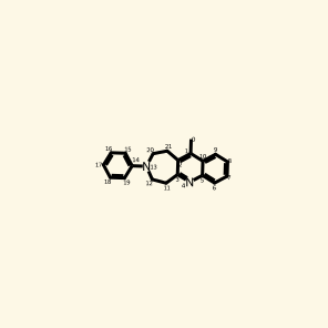 Cc1c2c(nc3ccccc13)CCN(c1ccccc1)CC2